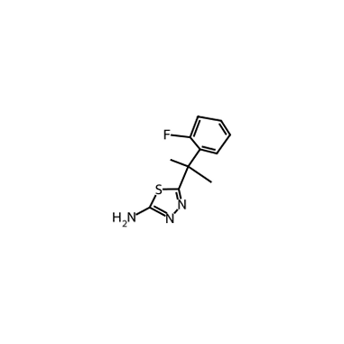 CC(C)(c1nnc(N)s1)c1ccccc1F